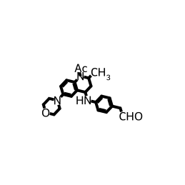 CC(=O)N1c2ccc(N3CCOCC3)cc2C(Nc2ccc(CC=O)cc2)CC1C